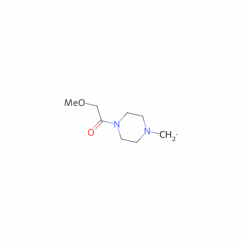 [CH2]N1CCN(C(=O)COC)CC1